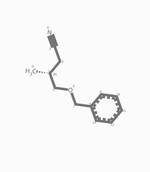 C[C@H](CC#N)COCc1ccccc1